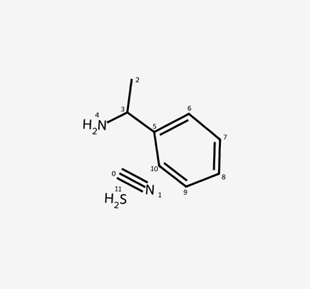 C#N.CC(N)c1ccccc1.S